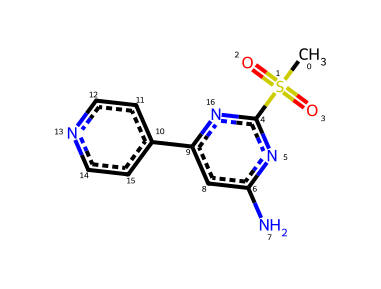 CS(=O)(=O)c1nc(N)cc(-c2ccncc2)n1